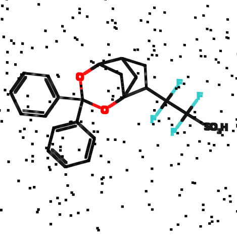 O=S(=O)(O)C(F)(F)C(F)(F)C1CC2CC13CC2OC(c1ccccc1)(c1ccccc1)O3